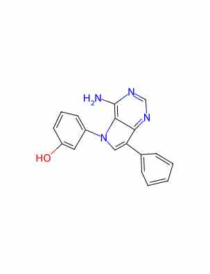 Nc1ncnc2c(-c3ccccc3)cn(-c3cccc(O)c3)c12